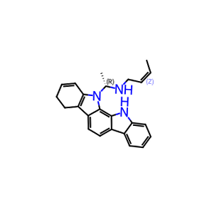 C/C=C\CN[C@@H](C)n1c2c(c3ccc4c5ccccc5[nH]c4c31)CCC=C2